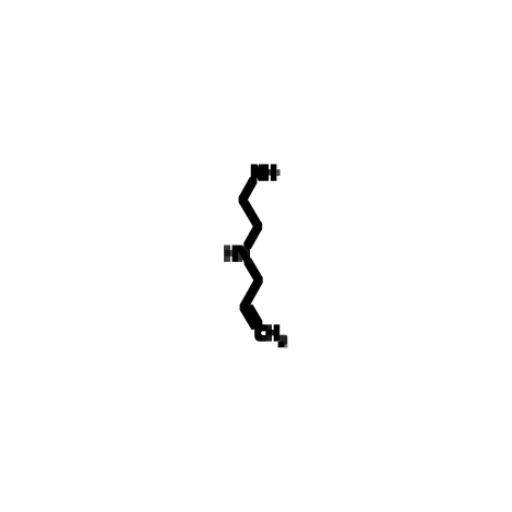 C=CCNCC[NH]